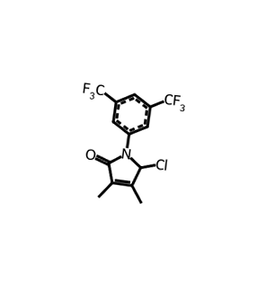 CC1=C(C)C(Cl)N(c2cc(C(F)(F)F)cc(C(F)(F)F)c2)C1=O